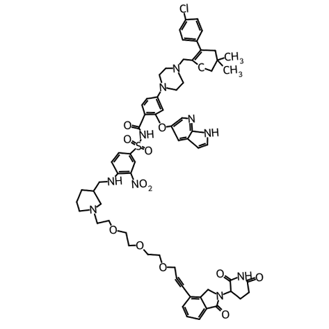 CC1(C)CCC(CN2CCN(c3ccc(C(=O)NS(=O)(=O)c4ccc(NCC5CCCN(CCOCCOCCOCC#Cc6cccc7c6CN(C6CCC(=O)NC6=O)C7=O)C5)c([N+](=O)[O-])c4)c(Oc4cnc5[nH]ccc5c4)c3)CC2)=C(c2ccc(Cl)cc2)C1